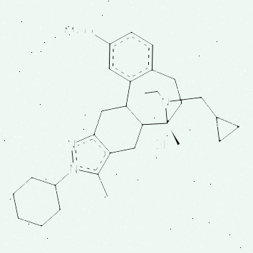 COc1ccc2c(c1)[C@@]13CCN(CC4CC4)[C@](C)(CC2)[C@@]1(O)Cc1c(nn(C2CCCCC2)c1C)C3